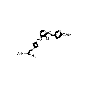 COc1ccc(COc2ncnc(OC[C@H]3C[C@H](OC[C@H](C)NC(C)=O)C3)c2Cl)cn1